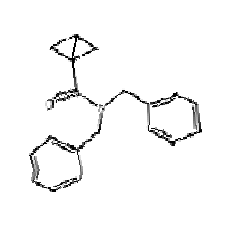 O=C(N(Cc1ccccc1)Cc1ccccc1)C12CC1C2